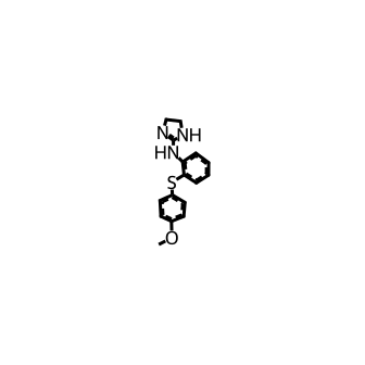 COc1ccc(Sc2ccccc2NC2=NCCN2)cc1